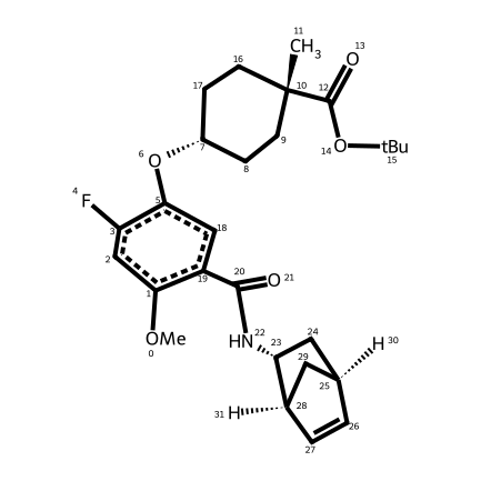 COc1cc(F)c(O[C@H]2CC[C@@](C)(C(=O)OC(C)(C)C)CC2)cc1C(=O)N[C@@H]1C[C@H]2C=C[C@@H]1C2